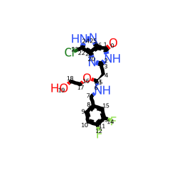 O=c1[nH]c(C[C@@H](NCc2ccc(F)c(F)c2)OCCO)nc2c(Cl)[nH]nc12